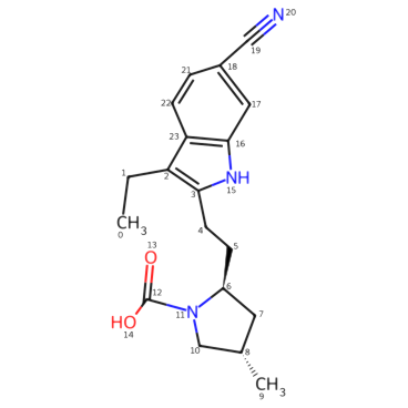 CCc1c(CC[C@H]2C[C@H](C)CN2C(=O)O)[nH]c2cc(C#N)ccc12